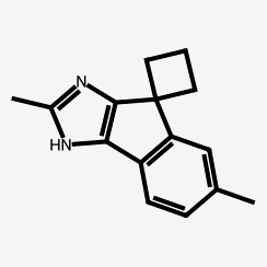 Cc1ccc2c(c1)C1(CCC1)c1nc(C)[nH]c1-2